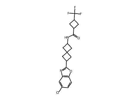 O=C(NC1CC2(C1)CC(c1nc3cc(Cl)ccc3o1)C2)C1CC(C(F)(F)F)C1